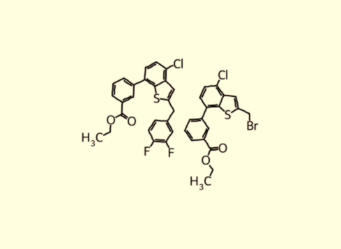 CCOC(=O)c1cccc(-c2ccc(Cl)c3cc(CBr)sc23)c1.CCOC(=O)c1cccc(-c2ccc(Cl)c3cc(Cc4ccc(F)c(F)c4)sc23)c1